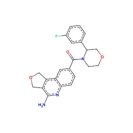 Nc1nc2ccc(C(=O)N3CCOCC3c3cccc(F)c3)cc2c2c1COC2